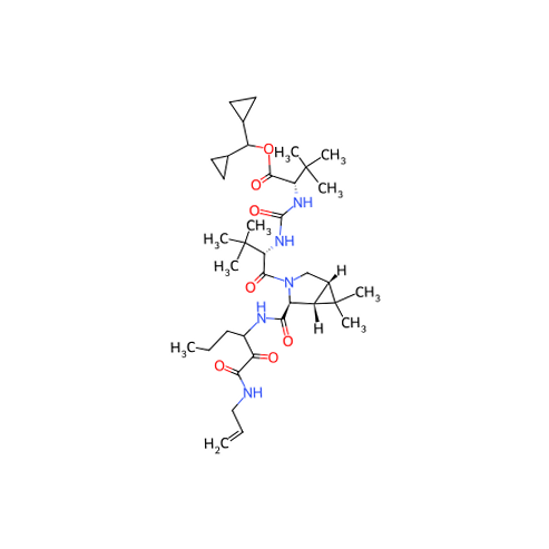 C=CCNC(=O)C(=O)C(CCC)NC(=O)[C@@H]1[C@@H]2[C@H](CN1C(=O)[C@@H](NC(=O)N[C@H](C(=O)OC(C1CC1)C1CC1)C(C)(C)C)C(C)(C)C)C2(C)C